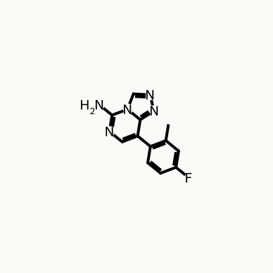 Cc1cc(F)ccc1-c1cnc(N)n2cnnc12